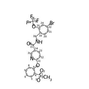 CS(=O)(=O)c1ccccc1Oc1ccc(C(=O)NCc2ccc(Br)cc2OC(F)(F)F)cn1